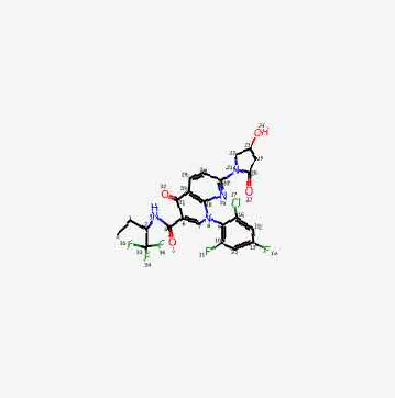 CCC(NC(=O)c1cn(-c2c(F)cc(F)cc2Cl)c2nc(N3C[C@@H](O)CC3=O)ccc2c1=O)C(F)(F)F